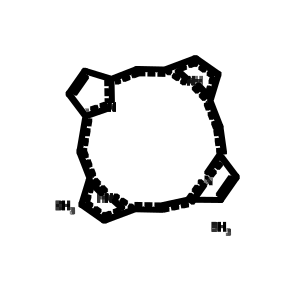 B.B.C1=Cc2cc3ccc(cc4nc(cc5ccc(cc1n2)[nH]5)C=C4)[nH]3